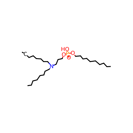 CCCCCCCCCCOP(=O)(O)OCCCN(CCCCCCCC)CCCCCCCC